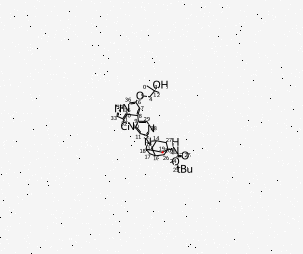 CC(C)(O)COc1cc(-c2ccc(N3C4CC5CC3CC(NC(=O)OC(C)(C)C)(C5)C4)nc2)c2c(C#N)cnn2c1